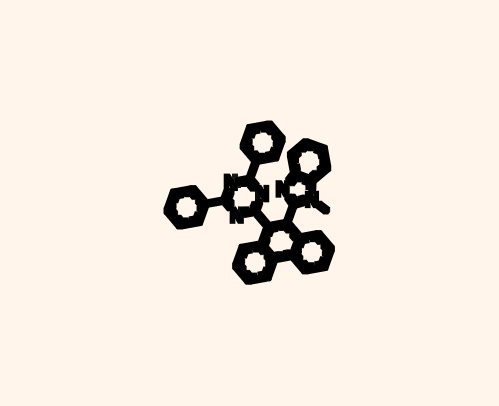 Cn1c(-c2c(-c3nc(-c4ccccc4)nc(-c4ccccc4)n3)c3ccccc3c3ccccc23)nc2ccccc21